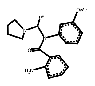 CCCC(N1CCCC1)N(C(=O)c1ccccc1N)c1cccc(OC)c1